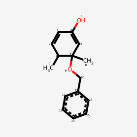 CC1C=CC(O)=CC1(C)OCc1ccccc1